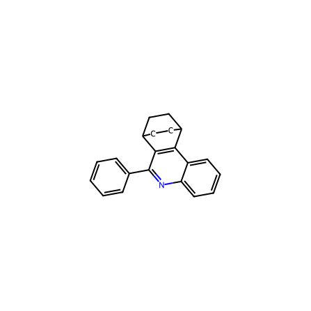 c1ccc(-c2nc3ccccc3c3c2C2CCC3CC2)cc1